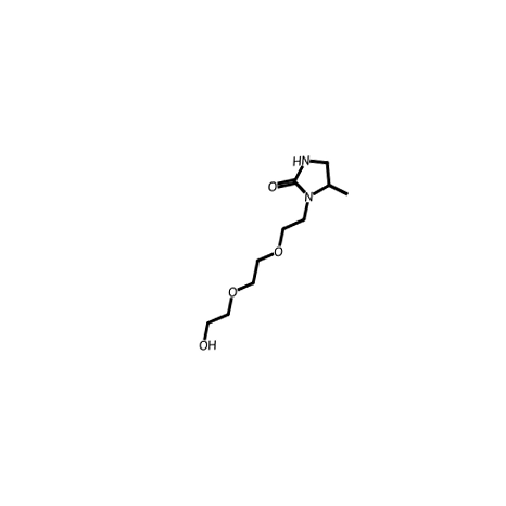 CC1CNC(=O)N1CCOCCOCCO